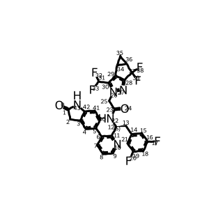 O=C1Cc2cc(-c3cccnc3[C@H](Cc3cc(F)cc(F)c3)NC(=O)Cn3nc4c(c3C(F)F)C3CC3C4(F)F)ccc2N1